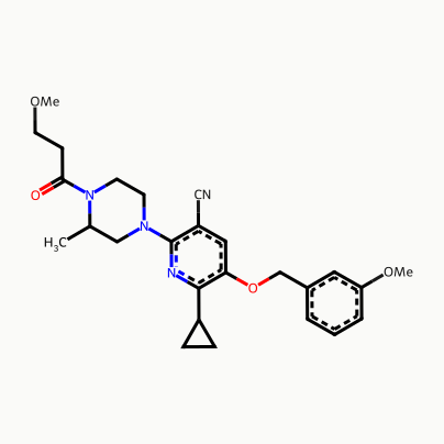 COCCC(=O)N1CCN(c2nc(C3CC3)c(OCc3cccc(OC)c3)cc2C#N)CC1C